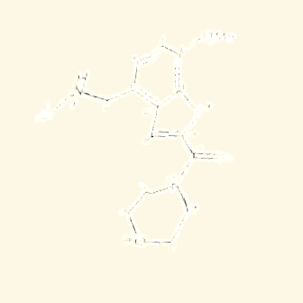 CCCCNCc1ccc(OC)c2oc(C(=O)N3CCOCC3)cc12